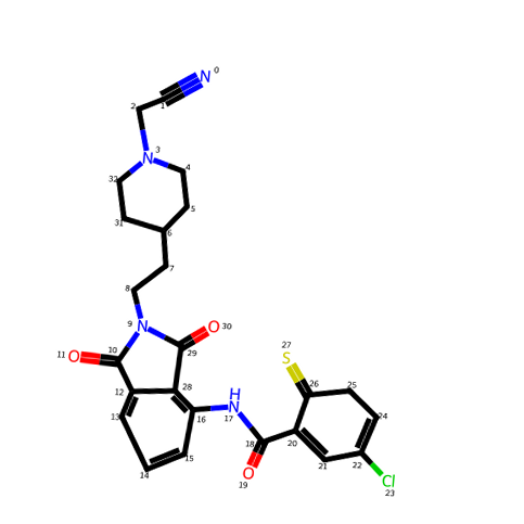 N#CCN1CCC(CCN2C(=O)c3cccc(NC(=O)C4=CC(Cl)=CCC4=S)c3C2=O)CC1